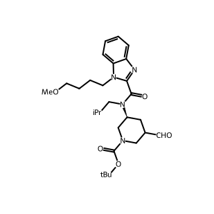 COCCCCn1c(C(=O)N(CC(C)C)[C@H]2CC(C=O)CN(C(=O)OC(C)(C)C)C2)nc2ccccc21